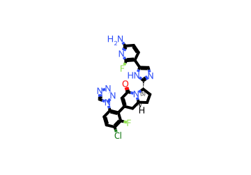 Nc1ccc(-c2cnc([C@@H]3CC[C@H]4CC(c5c(-n6cnnn6)ccc(Cl)c5F)=CC(=O)N43)[nH]2)c(F)n1